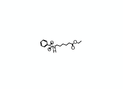 CCOC(=O)CCCCCNS(=O)(=O)c1ccccc1